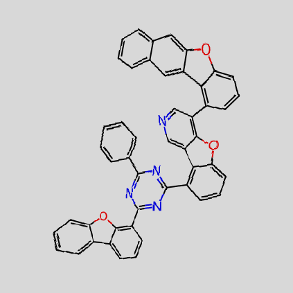 c1ccc(-c2nc(-c3cccc4c3oc3ccccc34)nc(-c3cccc4oc5c(-c6cccc7oc8cc9ccccc9cc8c67)cncc5c34)n2)cc1